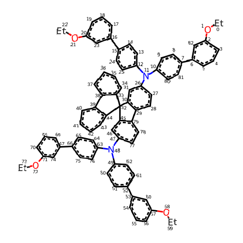 CCOc1cccc(-c2ccc(N(c3ccc(-c4cccc(OCC)c4)cc3)c3ccc4c(c3)C3(c5ccccc5-c5ccccc53)c3cc(N(c5ccc(-c6cccc(OCC)c6)cc5)c5ccc(-c6cccc(OCC)c6)cc5)ccc3-4)cc2)c1